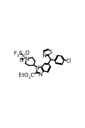 CCOC(=O)c1nc2ccc(C(c3ccc(Cl)cc3)c3nccs3)cc2n1C1CCN(S(=O)(=O)C(F)(F)F)CC1